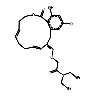 CC(C)CN(CC(C)C)C(=O)CO/N=C1\C=C\CC/C=C/CCOC(=O)c2c(O)cc(O)cc2C1